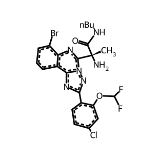 CCCCNC(=O)[C@](C)(N)c1nc2c(Br)cccc2c2nc(-c3ccc(Cl)cc3OC(F)F)nn12